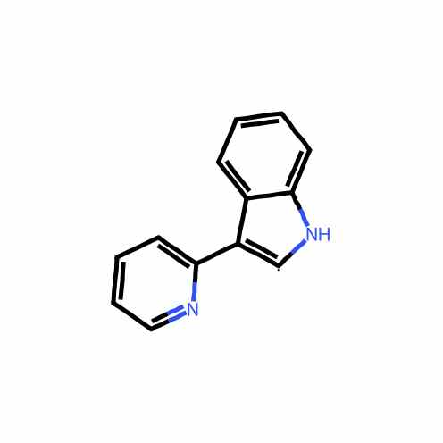 [c]1[nH]c2ccccc2c1-c1ccccn1